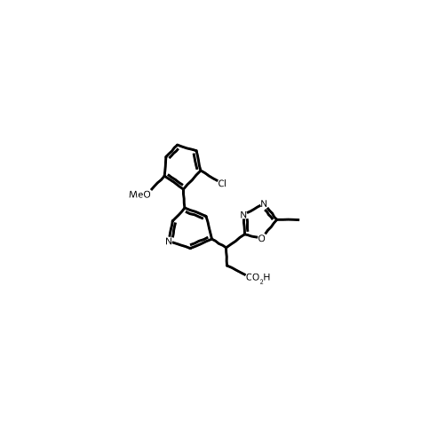 COc1cccc(Cl)c1-c1cncc(C(CC(=O)O)c2nnc(C)o2)c1